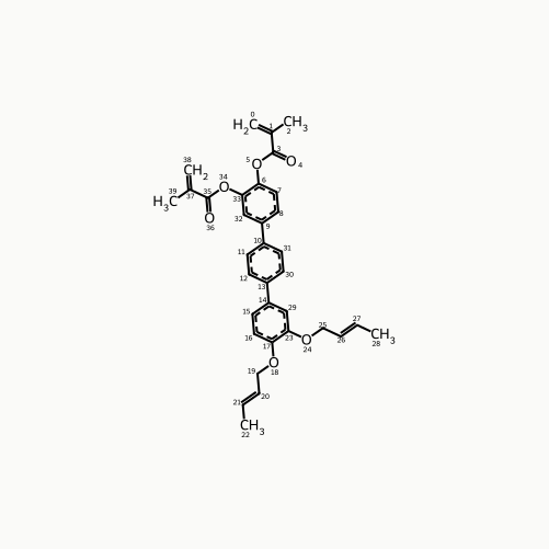 C=C(C)C(=O)Oc1ccc(-c2ccc(-c3ccc(OC/C=C/C)c(OC/C=C/C)c3)cc2)cc1OC(=O)C(=C)C